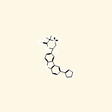 CC1(C)C(=N)N[C@](C)(c2ccc3sc4ccc(C5=CCCC5)cc4c3c2)CS1(=O)=O